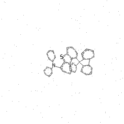 c1ccc(N(c2ccccc2)c2cccc3c2sc2cccc(C4(c5ccccc5)c5ccccc5-c5ccccc54)c23)cc1